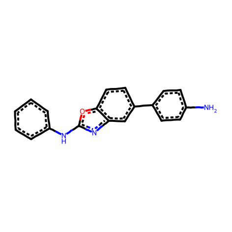 Nc1ccc(-c2ccc3oc(Nc4ccccc4)nc3c2)cc1